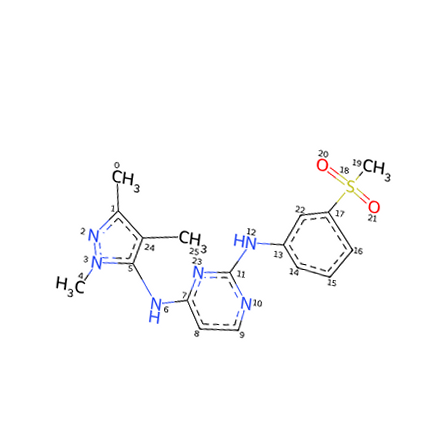 Cc1nn(C)c(Nc2ccnc(Nc3cccc(S(C)(=O)=O)c3)n2)c1C